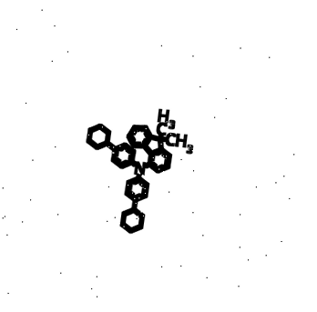 CC1(C)c2ccccc2-c2c(N(c3ccc(C4CCCCC4)cc3)c3ccc(C4CCCCC4)cc3)cccc21